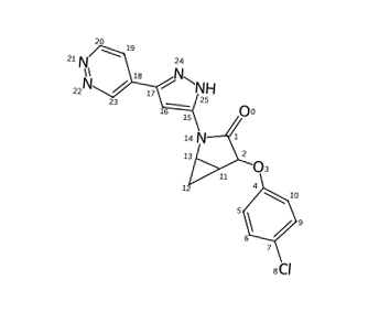 O=C1C(Oc2ccc(Cl)cc2)C2CC2N1c1cc(-c2ccnnc2)n[nH]1